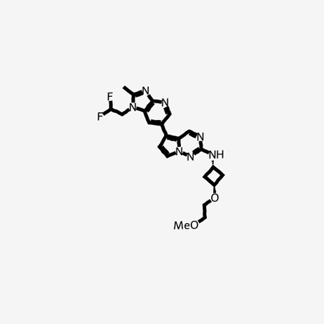 COCCO[C@H]1C[C@H](Nc2ncc3c(-c4cnc5nc(C)n(CC(F)F)c5c4)ccn3n2)C1